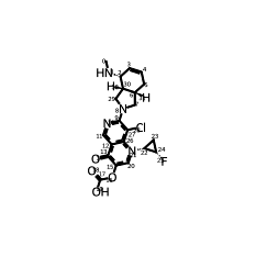 CN[C@@H]1C=CC[C@@H]2CN(c3ncc4c(=O)c(OC(=O)O)cn([C@@H]5C[C@@H]5F)c4c3Cl)C[C@@H]21